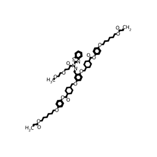 C=CC(=O)OCCCCCCOc1ccc(OC(=O)C2CCC(COc3ccc(OCC4CCC(C(=O)Oc5ccc(OCCCCCCOC(=O)C=C)cc5)CC4)c(/C=N/N(C(=O)CCOCCOC)c4nc5ccccc5s4)c3)CC2)cc1